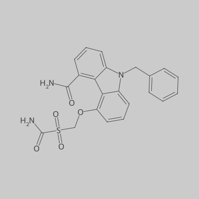 NC(=O)c1cccc2c1c1c(OCS(=O)(=O)C(N)=O)cccc1n2Cc1ccccc1